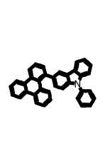 c1ccc(-n2c3ccccc3c3cc(-c4cccc5c6ccccc6c6ccccc6c45)ccc32)cc1